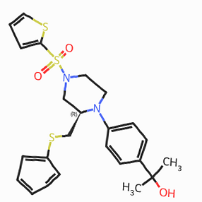 CC(C)(O)c1ccc(N2CCN(S(=O)(=O)c3cccs3)C[C@@H]2CSc2ccccc2)cc1